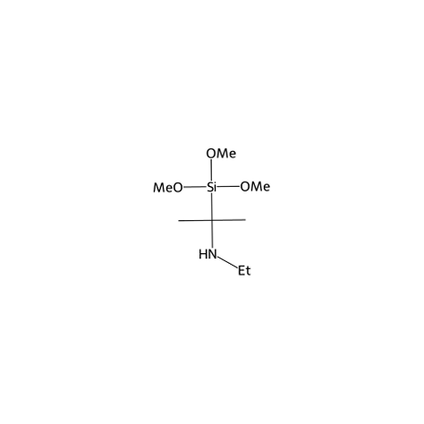 CCNC(C)(C)[Si](OC)(OC)OC